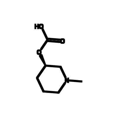 CN1CCC[C@@H](OC(=O)O)C1